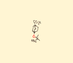 CC(C)(C)[Si](C)(C)OC12CCC(C(=O)O)(CC1)CC2